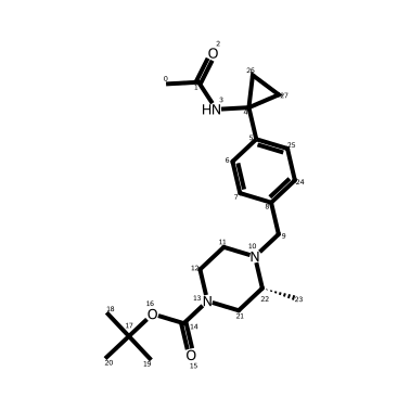 CC(=O)NC1(c2ccc(CN3CCN(C(=O)OC(C)(C)C)C[C@H]3C)cc2)CC1